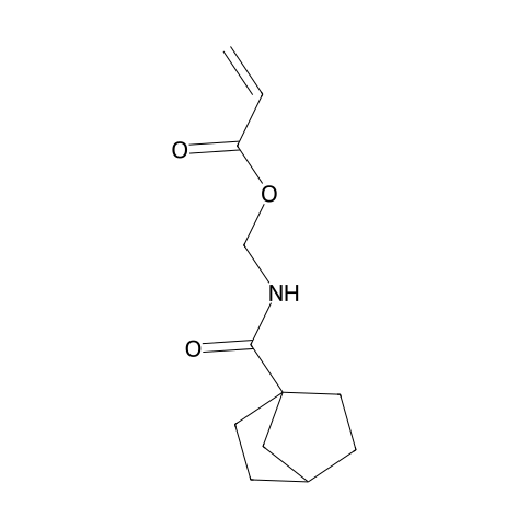 C=CC(=O)OCNC(=O)C12CCC(CC1)C2